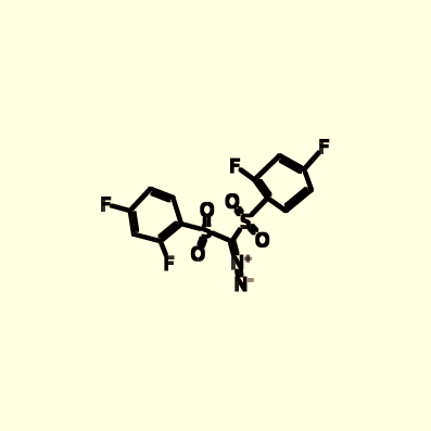 [N-]=[N+]=C(S(=O)(=O)c1ccc(F)cc1F)S(=O)(=O)c1ccc(F)cc1F